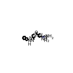 NN/C=C(\N)c1ccc(C(=O)N2CCc3nc(NC4Cc5ccccc5C4)ncc3C2)cn1